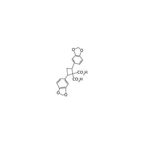 O=C(O)C1(C(=O)O)C(c2ccc3c(c2)OCO3)CC1c1ccc2c(c1)OCO2